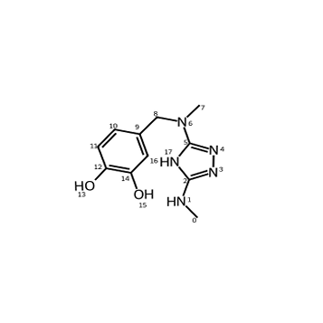 CNc1nnc(N(C)Cc2ccc(O)c(O)c2)[nH]1